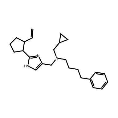 C=CC1CCCC1c1nc(CN(CCCCc2ccccc2)CC2CC2)c[nH]1